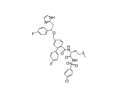 CSCC[C@H](NC(=O)c1ccc(COC(Cc2ncc[nH]2)c2ccc(F)cc2)cc1-c1ccc(F)cc1)C(=O)NS(=O)(=O)c1ccc(Cl)cc1